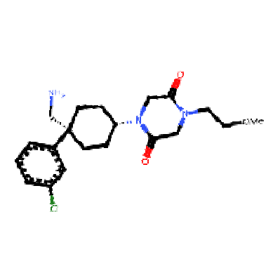 COCCN1CC(=O)N([C@H]2CC[C@](CN)(c3cccc(Cl)c3)CC2)CC1=O